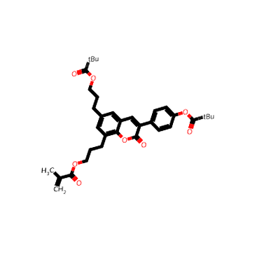 C=C(C)C(=O)OCCCc1cc(CCCOC(=O)C(C)(C)C)cc2cc(-c3ccc(OC(=O)C(C)(C)C)cc3)c(=O)oc12